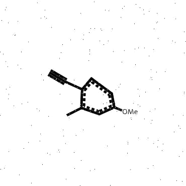 C#Cc1ccc(OC)cc1C